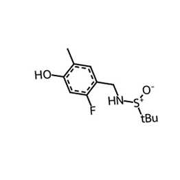 Cc1cc(CN[S+]([O-])C(C)(C)C)c(F)cc1O